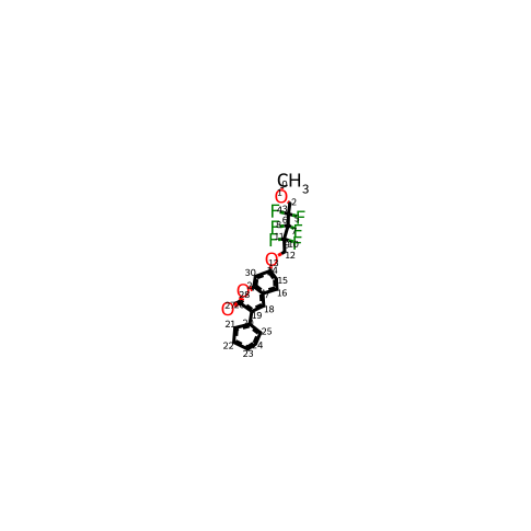 COCC(F)(F)C(F)(F)C(F)(F)COc1ccc2cc(-c3ccccc3)c(=O)oc2c1